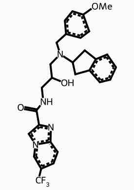 COc1ccc(CN(CC(O)CNC(=O)c2cn3cc(C(F)(F)F)ccc3n2)C2Cc3ccccc3C2)cc1